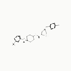 O=C(NC1CCC(F)(S(=O)(=O)c2cccc(C(F)(F)F)c2)CC1)[C@@H]1C[C@@H](Cc2ccc(F)cc2)CN1